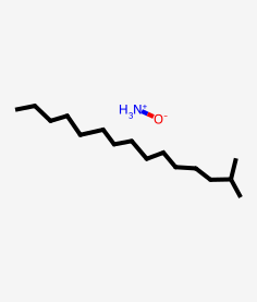 CCCCCCCCCCCCCC(C)C.[NH3+][O-]